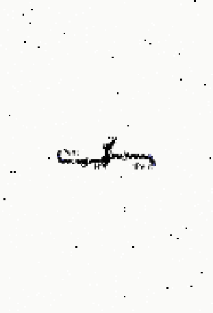 CCCCC/C=C\C/C=C\CCCCCCCC(=O)OCCCCOc1cc(COC(=O)CCCN(C)C)c(OCCCCOC(=O)CCCCCCC/C=C\C/C=C\CCCCC)cc1CO